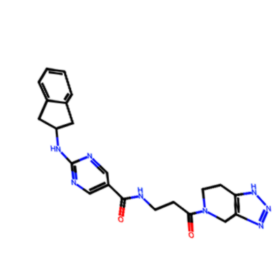 O=C(NCCC(=O)N1CCc2[nH]nnc2C1)c1cnc(NC2Cc3ccccc3C2)nc1